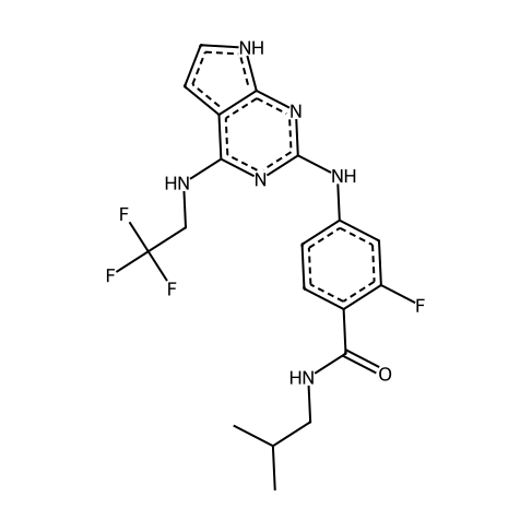 CC(C)CNC(=O)c1ccc(Nc2nc(NCC(F)(F)F)c3cc[nH]c3n2)cc1F